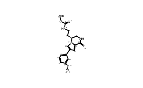 CC(C)(C)OC(=O)NCC[C@H]1CNC(=O)c2cc(-c3cccc(OC(F)(F)F)c3)cn21